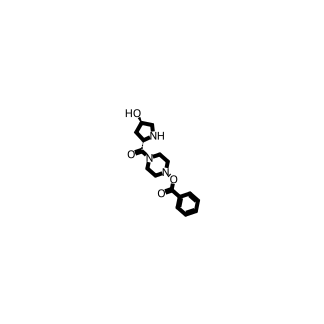 O=C(ON1CCN(C(=O)[C@@H]2C[C@@H](O)CN2)CC1)c1ccccc1